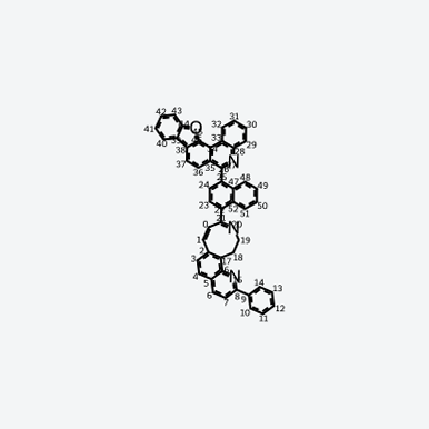 C1=C\c2ccc3ccc(-c4ccccc4)nc3c2CC\N=C/1c1ccc(-c2nc3ccccc3c3c2ccc2c4ccccc4oc23)c2ccccc12